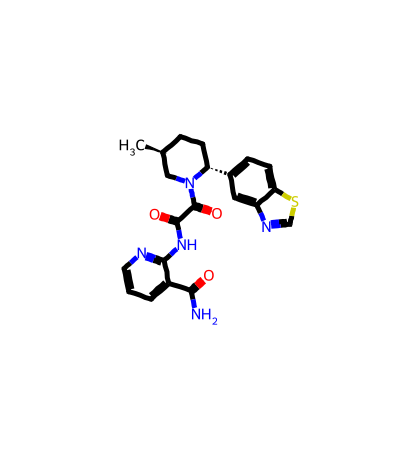 C[C@H]1CC[C@H](c2ccc3scnc3c2)N(C(=O)C(=O)Nc2ncccc2C(N)=O)C1